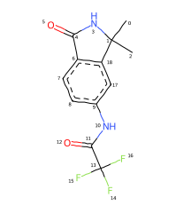 CC1(C)NC(=O)c2ccc(NC(=O)C(F)(F)F)cc21